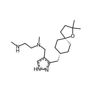 CNCCN(C)Cc1c[nH]nc1C[C@H]1CC[C@@]2(CCC(C)(C)O2)CC1